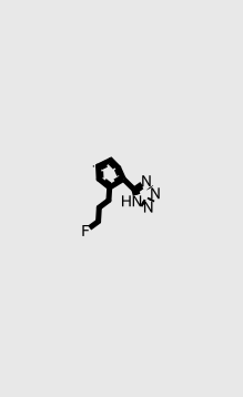 FCCCc1c[c]ccc1-c1nnn[nH]1